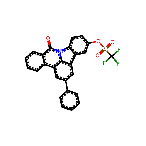 O=c1c2ccccc2c2cc(-c3ccccc3)cc3c4cc(OS(=O)(=O)C(F)(F)F)ccc4n1c23